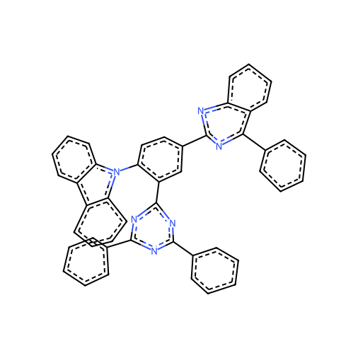 c1ccc(-c2nc(-c3ccccc3)nc(-c3cc(-c4nc(-c5ccccc5)c5ccccc5n4)ccc3-n3c4ccccc4c4ccccc43)n2)cc1